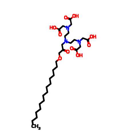 CCCCCCCCCCCCCCCCOCC(=O)CN(CCN(CC(=O)O)CC(=O)O)CCN(CC(=O)O)CC(=O)O